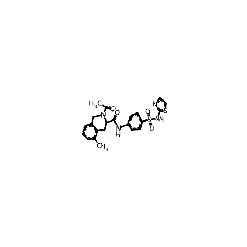 CC(=O)N1Cc2cccc(C)c2CC1C(=O)Nc1ccc(S(=O)(=O)Nc2nccs2)cc1